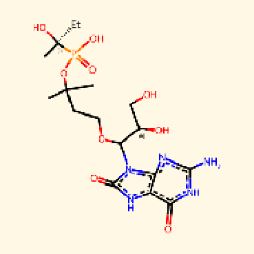 CC[C@](C)(O)P(=O)(O)OC(C)(C)CCOC([C@H](O)CO)n1c(=O)[nH]c2c(=O)[nH]c(N)nc21